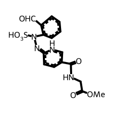 COC(=O)CNC(=O)c1ccc(=NN(c2ccccc2C=O)S(=O)(=O)O)[nH]c1